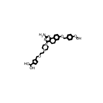 Nc1nc2c(c(N3CCN(CCOCC4=CC=C(C(O)O)C4)CC3)n1)CCc1cc(OCc3ccc(OO)cc3)ccc1-2